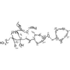 CC(C)(C)OC(=O)NC(O)(CCc1ccc(OCc2ccccc2)cc1)C(F)(F)C(=O)O